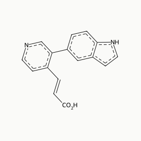 O=C(O)C=Cc1ccncc1-c1ccc2[nH]ccc2c1